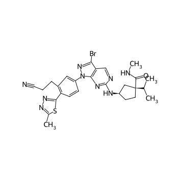 CNC(=O)[C@]1(C(C)C)CC[C@@H](Nc2ncc3c(Br)nn(-c4ccc(-c5nnc(C)s5)c(CCC#N)c4)c3n2)C1